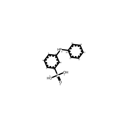 O=P(O)(O)c1cccc(Pc2ccccc2)c1